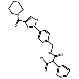 O=C(O)C(C(=O)NCc1ccc(-c2nc(C(=O)N3CCCCC3)co2)cc1)c1ccccc1